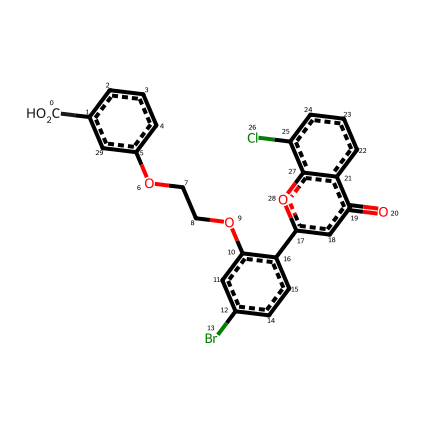 O=C(O)c1cccc(OCCOc2cc(Br)ccc2-c2cc(=O)c3cccc(Cl)c3o2)c1